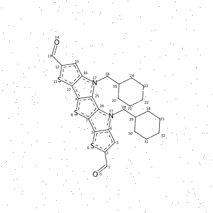 O=Cc1cc2c(s1)c1sc3c4sc(C=O)cc4n(CC4CCCCC4)c3c1n2CC1CCCCC1